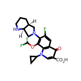 O=C(O)c1cn(C2CC2)c2c(OC(F)F)c(N3C[C@@H]4CCCN[C@@H]4C3)c(F)cc2c1=O